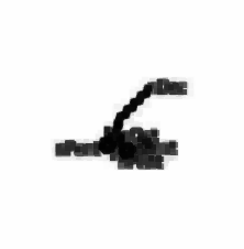 CCCCCCCCCCCCCCCCCCCC#CC(=Nc1cc(CCCCC)cc(CCCCC)c1)C(CCCCCCCC)=Nc1cc(CCCCC)cc(CCCCC)c1.[Ni]